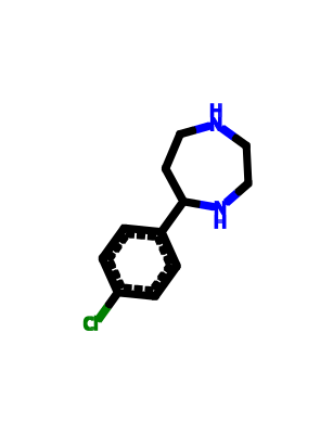 Clc1ccc(C2CCNCCN2)cc1